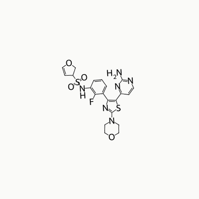 Nc1nccc(-c2sc(N3CCOCC3)nc2-c2cccc(NS(=O)(=O)C3C=COC3)c2F)n1